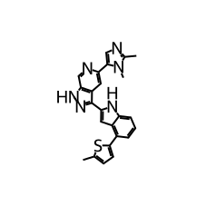 Cc1ccc(-c2cccc3[nH]c(-c4n[nH]c5cnc(-c6cnc(C)n6C)cc45)cc23)s1